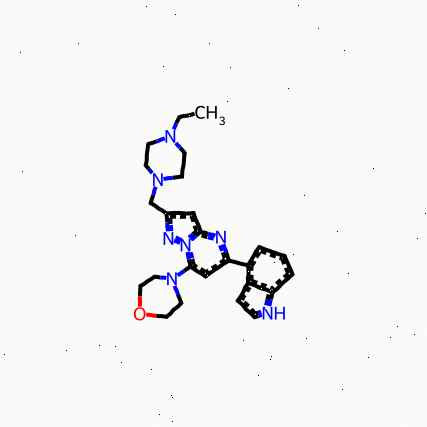 CCN1CCN(Cc2cc3nc(-c4cccc5[nH]ccc45)cc(N4CCOCC4)n3n2)CC1